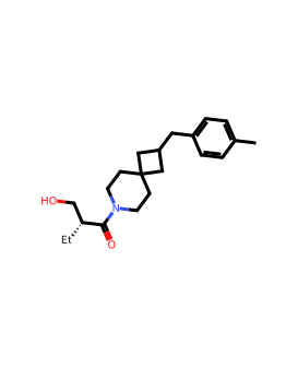 CC[C@H](CO)C(=O)N1CCC2(CC1)CC(Cc1ccc(C)cc1)C2